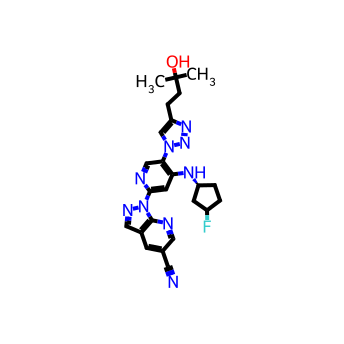 CC(C)(O)CCc1cn(-c2cnc(-n3ncc4cc(C#N)cnc43)cc2N[C@H]2CCC(F)C2)nn1